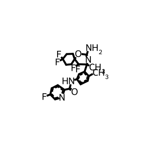 Cc1ccc(NC(=O)c2ccc(F)cn2)cc1C1(C)N=C(N)OC2(CCC(F)(F)CC2)C1(F)F